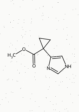 COC(=O)C1(c2c[nH]cn2)CC1